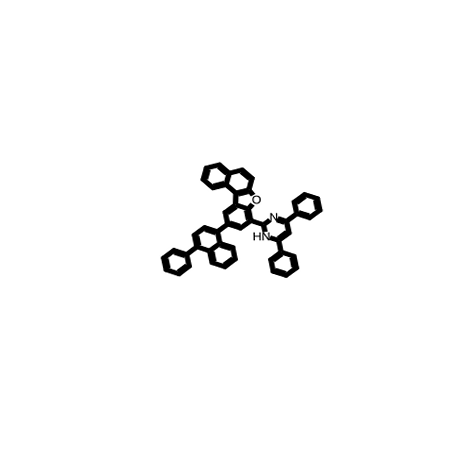 C1=C(c2ccccc2)NC(c2cc(-c3ccc(-c4ccccc4)c4ccccc34)cc3c2oc2ccc4ccccc4c23)N=C1c1ccccc1